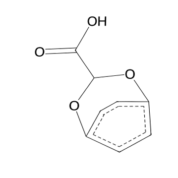 O=C(O)C1Oc2ccc(cc2)O1